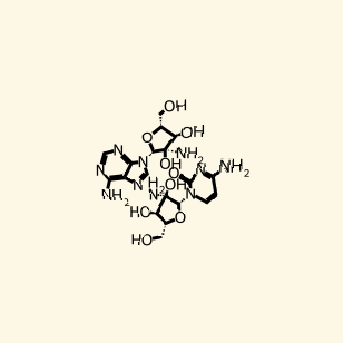 Nc1ccn([C@@H]2O[C@H](CO)[C@@H](O)[C@@]2(N)O)c(=O)n1.Nc1ncnc2c1ncn2[C@@H]1O[C@H](CO)[C@@H](O)[C@@]1(N)O